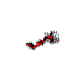 COC1=CN2C(=O)c3cc(OC)c(OCCCOc4cc5c(cc4OC)C(=O)N4C=C(c6ccc(NC(=O)Oc7ccc(O[C@@H]8OC(C(=O)O)[C@@H](O)C(O)C8O)c(NC(=O)CCN)c7)cc6)C[C@H]4C=N5)cc3N=C[C@@H]2C1